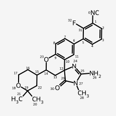 [C-]#[N+]c1cccc(-c2ccc3c(c2)C2(CC(C4CCOC(C)(C)C4)O3)N=C(N)N(C)C2=O)c1F